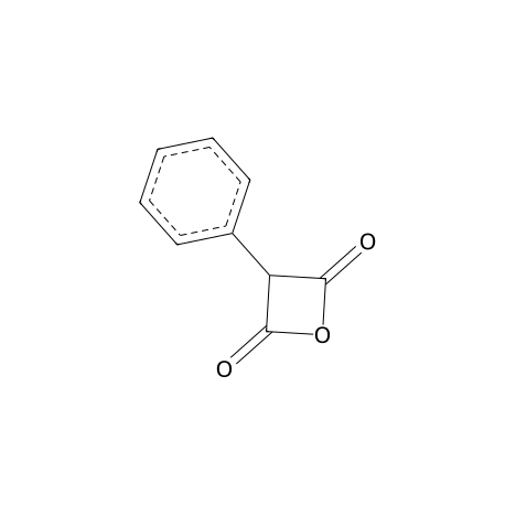 O=C1OC(=O)C1c1ccccc1